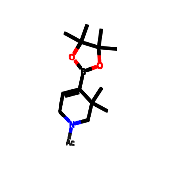 CC(=O)N1CC=C(B2OC(C)(C)C(C)(C)O2)C(C)(C)C1